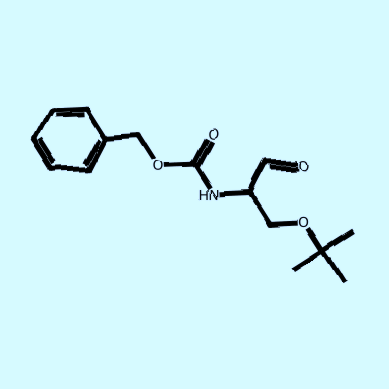 CC(C)(C)OCC(C=O)NC(=O)OCc1ccccc1